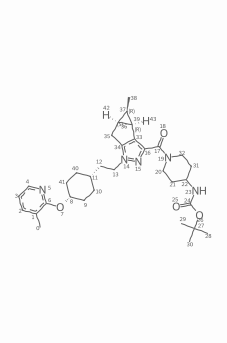 Cc1cccnc1O[C@H]1CC[C@@H](CCn2nc(C(=O)N3CCC(NC(=O)OC(C)(C)C)CC3)c3c2C[C@H]2[C@@H](C)[C@@H]32)CC1